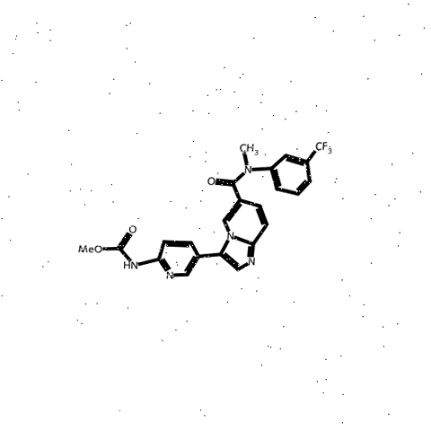 COC(=O)Nc1ccc(-c2cnc3ccc(C(=O)N(C)c4cccc(C(F)(F)F)c4)cn23)cn1